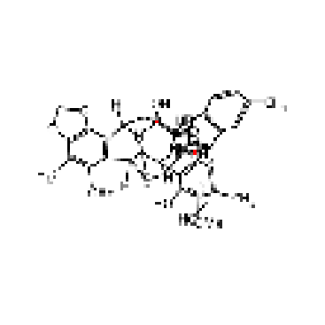 COc1c(C)cc2c(c1O)[C@H]1[C@@H]3[C@@H]4SC[C@]5(N[C@@H](CO)Cc6c5[nH]c5ccc(C)cc65)C(=O)OC[C@@H](c5c6c(c(C)c(OC(C)=O)c54)OCO6)N3[C@@H](O)[C@H](C2)N1C